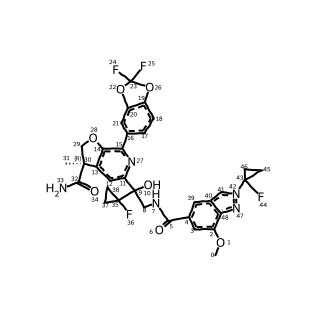 COc1cc(C(=O)NCC(O)(c2cc3c(c(-c4ccc5c(c4)OC(F)(F)O5)n2)OC[C@]3(C)C(N)=O)C2(F)CC2)cc2cn(C3(F)CC3)nc12